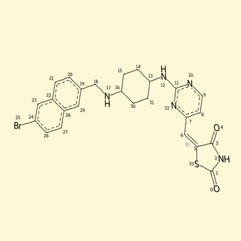 O=C1NC(=O)/C(=C\c2ccnc(NC3CCC(NCc4ccc5cc(Br)ccc5c4)CC3)n2)S1